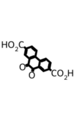 O=C(O)c1ccc2c(c1)C(=O)C(=O)c1cc(C(=O)O)ccc1-2